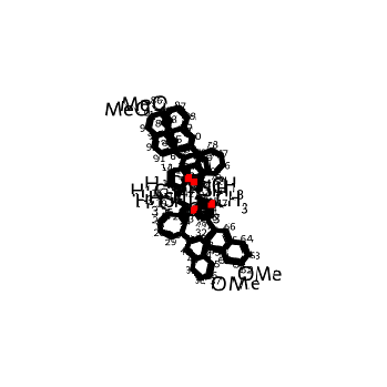 COc1ccc2cc(C3C=CC=CC4=C3C=C(C)[C]43[SiH](C)[C]4(C(C)=CC5=C4C=CC=CC5c4ccc5cc(OC)ccc5c4)[Hf]34([Cl])([Cl])[C]3(C(C)=CC5=C3C=CC=CC5c3ccc5cc(OC)ccc5c3)[SiH](C)[C]43C(C)=CC4=C3C=CC=CC4c3ccc4cc(OC)ccc4c3)ccc2c1